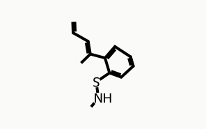 C=C/C=C(\C)c1ccccc1SNC